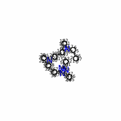 c1ccc(-c2cccc(-n3c4ccccc4c4cc(-c5ccc(-n6c7ccccc7c7ccc(-c8cccc(-c9nc(-c%10ccccc%10)nc(-c%10ccccc%10)n9)c8)cc76)cc5)ccc43)c2)cc1